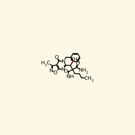 CCCCC(C([NH])=O)(C(N)=O)C(CC)c1nc2onc(C)c2c(=O)n1Cc1ccccc1